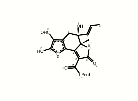 C/C=C/[C@@]1(O)Cc2c(oc(O)c2C=O)C2=C(C(=O)CCCCC)C(=O)O[C@]21C